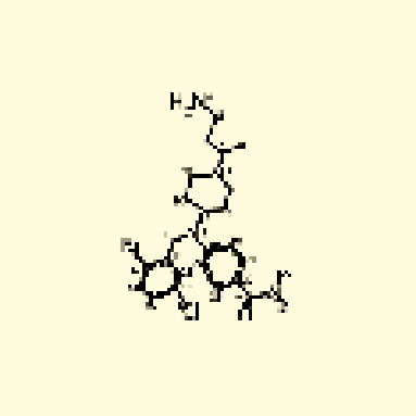 CC(CCN)N1CCC(N(Cc2cc(Cl)ccc2F)c2ccc(C(=O)N(C)C)cc2)CC1